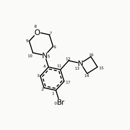 Brc1ccc(N2CCOCC2)c(CN2CCC2)c1